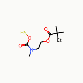 CCC(C)(C)C(=O)OCCN(C)C(=O)OS